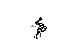 CN[C@@H](C)C(=O)N[C@H]1CCc2ccccc2N(Cc2cccc3c(C4CC4)cccc23)C1=O.Cl